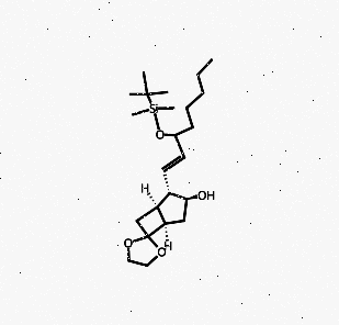 CCCCCC(/C=C/[C@H]1[C@@H]2CC3(OCCO3)[C@@H]2C[C@@H]1O)O[Si](C)(C)C(C)(C)C